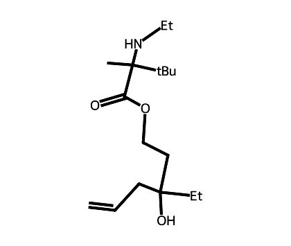 C=CCC(O)(CC)CCOC(=O)C(C)(NCC)C(C)(C)C